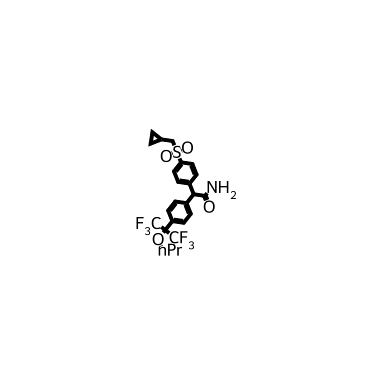 CCCOC(c1ccc(C(C(N)=O)c2ccc(S(=O)(=O)CC3CC3)cc2)cc1)(C(F)(F)F)C(F)(F)F